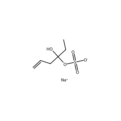 C=CCC(O)(CC)OS(=O)(=O)[O-].[Na+]